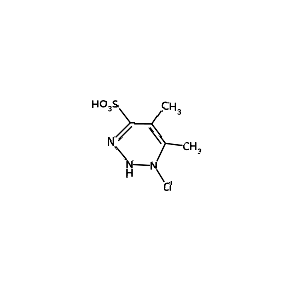 CC1=C(C)N(Cl)NN=C1S(=O)(=O)O